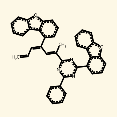 C=C/C=C(\C=C(/C)c1nc(-c2ccccc2)nc(-c2cccc3oc4ccccc4c23)n1)c1cccc2oc3ccccc3c12